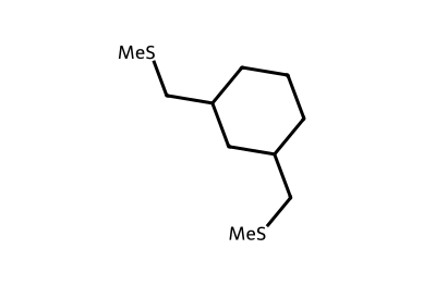 CSCC1CCCC(CSC)C1